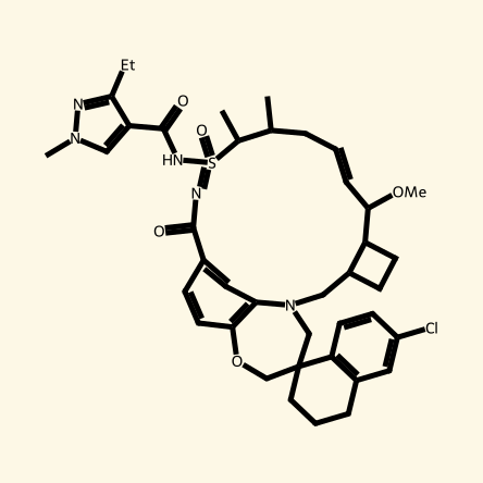 CCc1nn(C)cc1C(=O)NS1(=O)=NC(=O)c2ccc3c(c2)N(CC2CCC2C(OC)/C=C/CC(C)C1C)CC1(CCCc2cc(Cl)ccc21)CO3